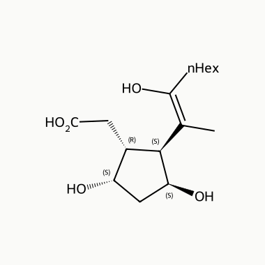 CCCCCCC(O)=C(C)[C@@H]1[C@@H](CC(=O)O)[C@@H](O)C[C@@H]1O